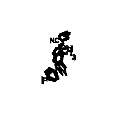 CC12Cc3cnn(-c4ccc(F)cc4)c3C=C1CC[C@@]2(O)CCc1ccccc1C#N